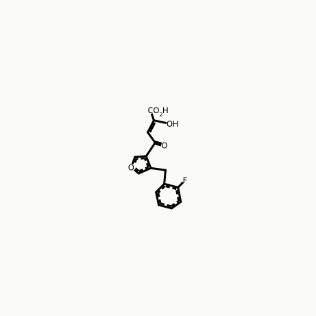 O=C(O)C(O)=CC(=O)c1cocc1Cc1ccccc1F